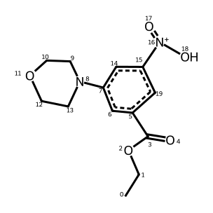 CCOC(=O)c1cc(N2CCOCC2)cc([N+](=O)O)c1